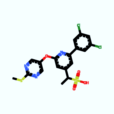 CSc1ncc(Oc2cc(C(C)S(=O)(=O)O)cc(-c3cc(Cl)cc(Cl)c3)n2)cn1